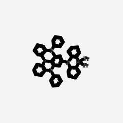 CC(C)[Si]1(C(C)C)c2ccccc2N(c2cc3c4c(c2)N(c2ccccc2)c2ccccc2B4c2ccccc2N3c2ccccc2)c2ccccc21